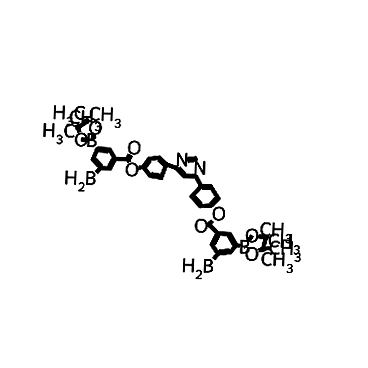 Bc1cc(B2OC(C)(C)C(C)(C)O2)cc(C(=O)Oc2ccc(-c3cc(-c4ccc(OC(=O)c5cc(B)cc(B6OC(C)(C)C(C)(C)O6)c5)cc4)ncn3)cc2)c1